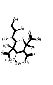 CC(=O)C1[C@H](OO)[C@](N)(C(C)=O)[C@H]([C@H](O)[C@H](O)CO)OC1(O)C(=O)O